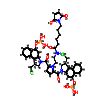 O=C(CCCCCN1C(=O)C=CC1=O)NCCn1c(C(=O)N2C[C@@H](CCl)c3c2cc(OP(O)O)c2ccccc32)ccc1C(=O)N1C[C@@H](CCl)c2c1cc(OP(O)O)c1ccccc21